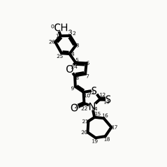 Cc1ccc(-c2ccc(/C=C3\SC(=S)N(C4CCCCCC4)C3=O)o2)cc1